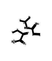 C=C(CC)C(N)=O.C=CC(=O)NC(C)C